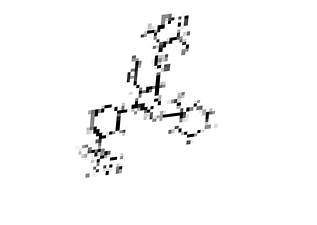 CNS(=O)(=O)c1cccc(-c2cn(CC3(F)CCCCC3)c3cc(-c4c(C)noc4C)cnc23)c1